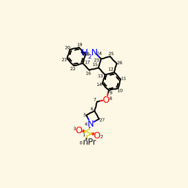 CCCS(=O)(=O)N1CC(COc2ccc3c(c2)C(Cc2ccccc2)C(N)CC3)C1